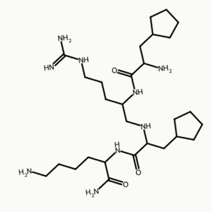 N=C(N)NCCCC(CNC(CC1CCCC1)C(=O)NC(CCCCN)C(N)=O)NC(=O)C(N)CC1CCCC1